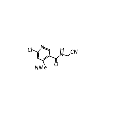 CNc1cc(Cl)ncc1C(=O)NCC#N